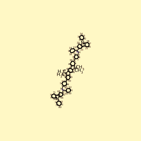 CC1(C)c2cc(-c3ccc(/C=C(\c4ccccc4)c4ccc5c(c4)c4ccccc4n5-c4ccccc4)cc3)ccc2-c2cc3c(cc21)-c1ccc(-c2ccc(/C=C(\c4ccccc4)c4ccc5c(c4)c4ccccc4n5-c4ccccc4)cc2)cc1C3(C)C